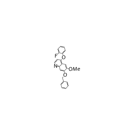 COc1cc2c(Oc3ccccc3F)ccnc2cc1OCc1ccccc1